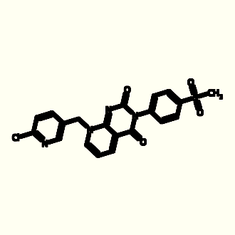 CS(=O)(=O)c1ccc(-n2c(=O)nc3n(Cc4ccc(Cl)nc4)cccc-3c2=O)cc1